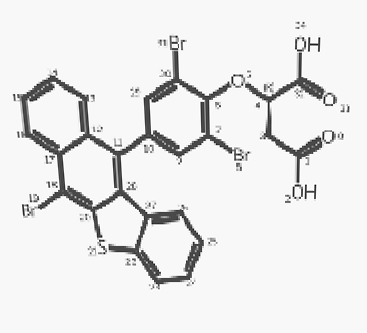 O=C(O)C[C@@H](Oc1c(Br)cc(-c2c3ccccc3c(Br)c3sc4ccccc4c23)cc1Br)C(=O)O